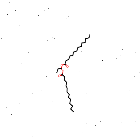 CCCCCCCCCCCCCC(=O)OC(CC)OC(=O)CCCCCCCCCCCCC